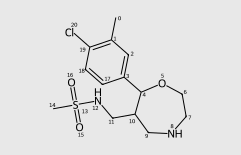 Cc1cc(C2OCCNCC2CNS(C)(=O)=O)ccc1Cl